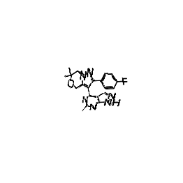 Cc1nc(-c2c(-c3ccc(F)cc3)nn3c2COC(C)(C)C3)c2cn[nH]c2n1